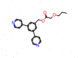 CCCOCC(=O)OCc1cc(-c2ccncc2)cc(-c2ccncc2)c1